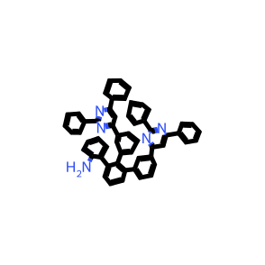 Nc1ccccc1-c1cccc(-c2cccc(-c3cc(-c4ccccc4)nc(-c4ccccc4)n3)c2)c1-c1cccc(-c2cc(-c3ccccc3)nc(-c3ccccc3)n2)c1